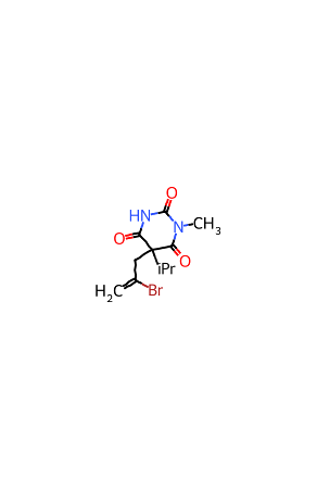 C=C(Br)CC1(C(C)C)C(=O)NC(=O)N(C)C1=O